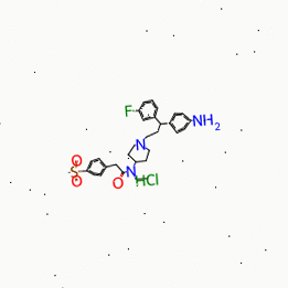 CCN(C(=O)Cc1ccc(S(C)(=O)=O)cc1)C1CCN(CCC(c2ccc(N)cc2)c2cccc(F)c2)CC1.Cl